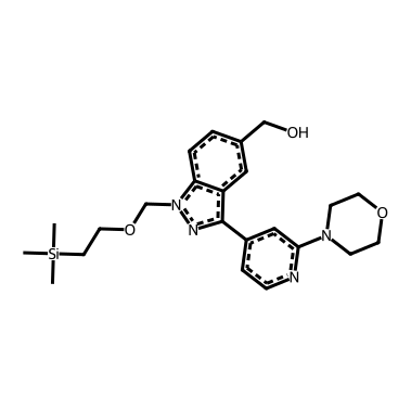 C[Si](C)(C)CCOCn1nc(-c2ccnc(N3CCOCC3)c2)c2cc(CO)ccc21